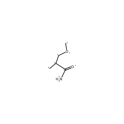 COC[C](C)C(N)=O